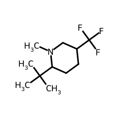 CN1CC(C(F)(F)F)CCC1C(C)(C)C